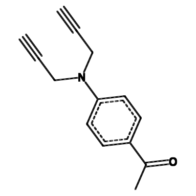 C#CCN(CC#C)c1ccc(C(C)=O)cc1